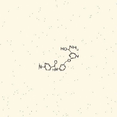 CN(C)c1ccc(C(=O)Nc2cccc(COc3cncc(C(N)O)c3)c2)cc1